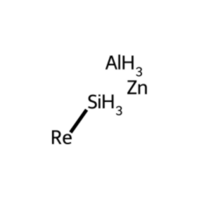 [AlH3].[SiH3][Re].[Zn]